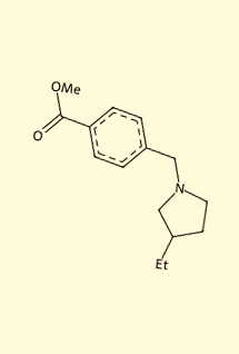 CCC1CCN(Cc2ccc(C(=O)OC)cc2)C1